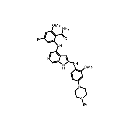 COc1cc(N2CCN(C(C)C)CC2)ccc1Nc1cc2c(Nc3cc(F)cc(OC)c3C(N)=O)cncc2[nH]1